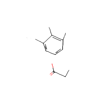 CCC(=O)O.CCc1c(OC)cccc1OC